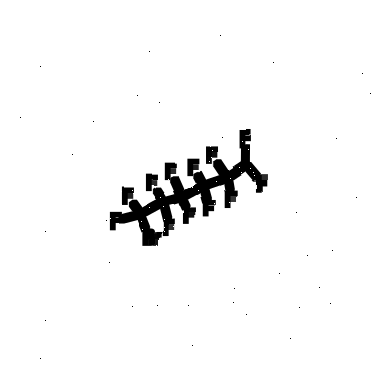 FC(F)C(F)(F)C(F)(F)C(F)(F)C(F)(F)C(F)(F)Br